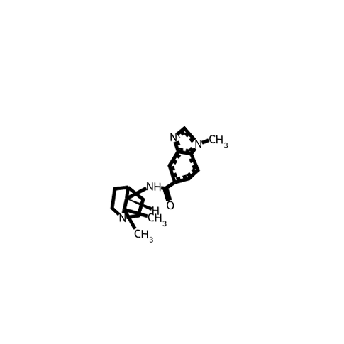 Cn1cnc2cc(C(=O)N[C@H]3C4CCN(CC4)C3(C)C)ccc21